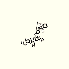 Cc1cc(Nc2cc(N3CCC3)nc(Sc3ccc(NC(=O)c4ccccc4OCF)cc3)n2)n[nH]1